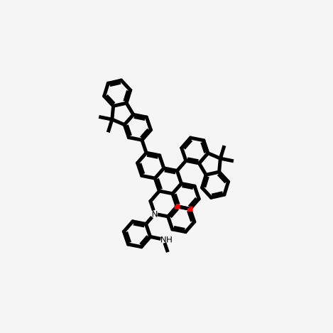 CNc1ccccc1N(Cc1c2ccccc2c(-c2cccc3c2-c2ccccc2C3(C)C)c2cc(-c3ccc4c(c3)C(C)(C)c3ccccc3-4)ccc12)c1ccccc1